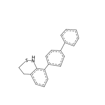 c1ccc(-c2ccc(-c3cccc4c3NSCC4)cc2)cc1